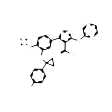 CCS(=O)(=O)Nc1ccc(-c2n[nH]c(Nc3cnccn3)c2C(N)=O)cc1OC1(c2ccc(F)cc2)CC1